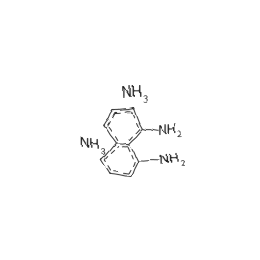 N.N.Nc1cccc2cccc(N)c12